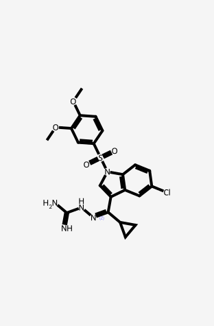 COc1ccc(S(=O)(=O)n2cc(/C(=N\NC(=N)N)C3CC3)c3cc(Cl)ccc32)cc1OC